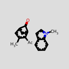 CC(=O)c1c(C)cc2cc1C2=O.Cn1ccc2ccccc21